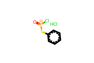 Cl.O=[PH](Cl)Sc1ccccc1